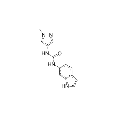 Cn1cc(NC(=O)Nc2ccc3cc[nH]c3c2)cn1